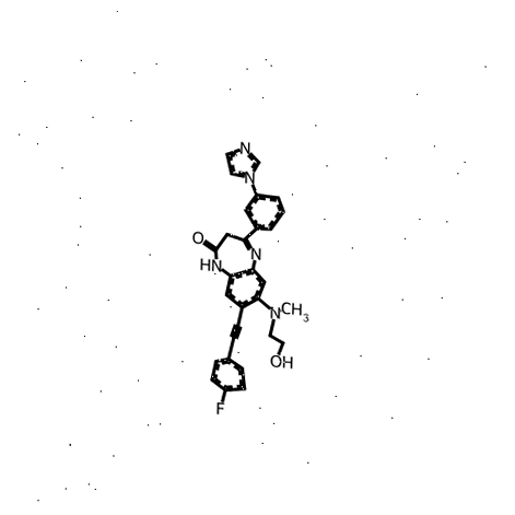 CN(CCO)c1cc2c(cc1C#Cc1ccc(F)cc1)NC(=O)CC(c1cccc(-n3ccnc3)c1)=N2